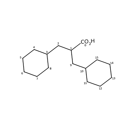 O=C(O)C(CC1CCCCC1)CC1CCCCC1